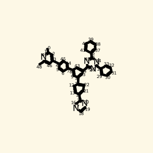 Cc1cc(-c2ccc(-c3cc(-c4ccc(-c5cnccn5)cc4)cc(-c4nc(-c5ccccc5)nc(-c5ccccc5)n4)c3)cc2)cc(C)n1